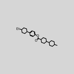 CCC1CCC(c2ccc(OC(=O)C3CCC(C4CCC(C)CC4)CC3)cc2)CC1